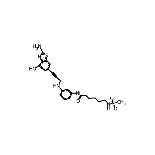 CS(=O)(=O)NCCCCCC(=O)Nc1cccc(NCC#Cc2cc(O)c3nc(N)sc3c2)c1